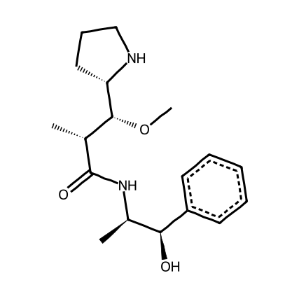 CO[C@@H]([C@@H]1CCCN1)[C@@H](C)C(=O)N[C@H](C)[C@H](O)c1ccccc1